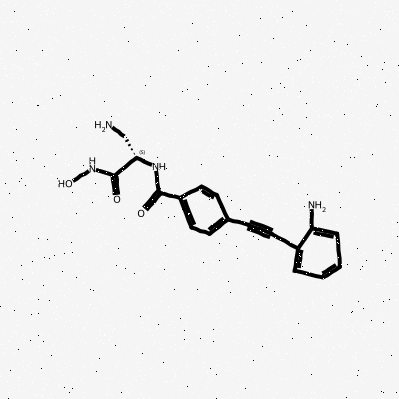 NC[C@H](NC(=O)c1ccc(C#Cc2ccccc2N)cc1)C(=O)NO